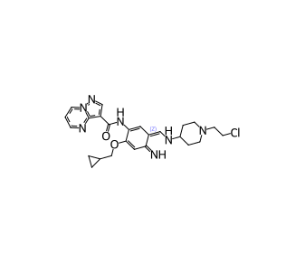 N=C1C=C(OCC2CC2)C(NC(=O)c2cnn3cccnc23)=C/C1=C/NC1CCN(CCCl)CC1